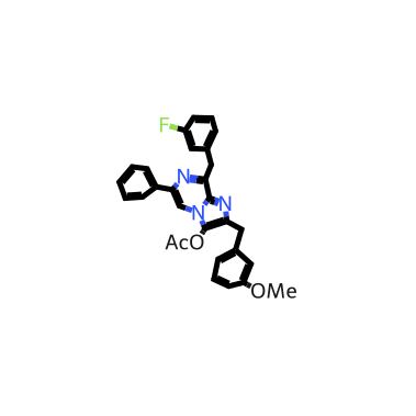 COc1cccc(Cc2nc3c(Cc4cccc(F)c4)nc(-c4ccccc4)cn3c2OC(C)=O)c1